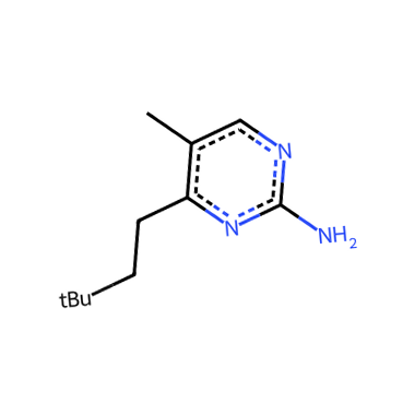 Cc1cnc(N)nc1CCC(C)(C)C